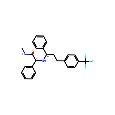 CNC(=O)[C@@H](N[C@H](CCc1ccc(C(F)(F)F)cc1)c1ccccc1)c1ccccc1